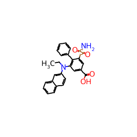 CCN(c1ccc2ccccc2c1)c1cc(C(=O)O)cc(S(N)(=O)=O)c1-c1ccccc1